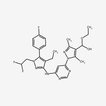 CCOC(O)c1c(C)nn(-c2cc(Nc3nn(CC(F)F)c(-c4ccc(F)cc4)c3CC)ncn2)c1C